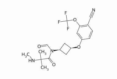 CNC(C)(C)C(=O)N(C=O)[C@H]1C[C@@H](Oc2ccc(C#N)c(OC(F)(F)F)c2)C1